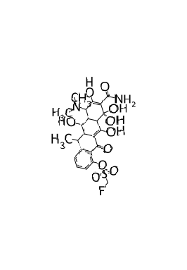 CC1c2cccc(OS(=O)(=O)CF)c2C(=O)C2=C(O)C3C(C(O)C21)C(N(C)C)C(O)=C(C(N)=O)C3(O)O